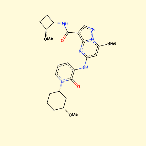 CNc1cc(Nc2cccn([C@H]3CCC[C@@H](OC)C3)c2=O)nc2c(C(=O)N[C@H]3CC[C@@H]3OC)cnn12